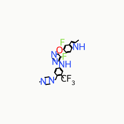 Cc1cc2c(F)c(Oc3ncnc(Nc4ccc(CN5CCN(C)CC5)c(C(F)(F)F)c4)c3F)ccc2[nH]1